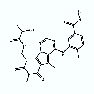 CCNC(=O)c1ccc(C)c(Nc2ncnn3cc(C(=O)N(CC)C(=O)OCOC(=O)C(C)O)c(C)c23)c1